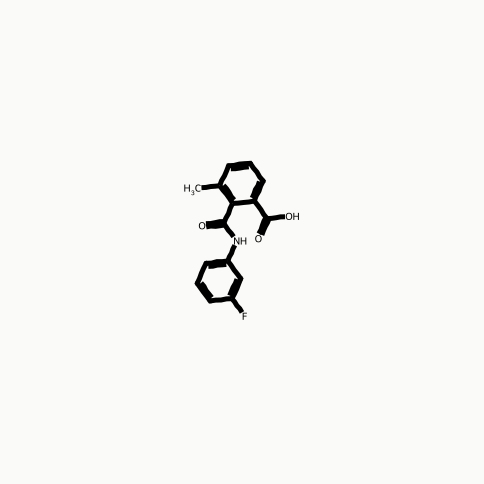 Cc1cccc(C(=O)O)c1C(=O)Nc1cccc(F)c1